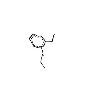 C[CH]Oc1ccccc1CC